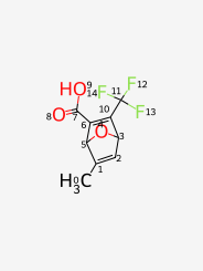 CC1=CC2OC1C(C(=O)O)=C2C(F)(F)F